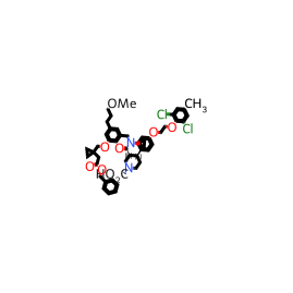 COCCCc1cc(CN(C(=O)[C@H]2CN(C(=O)O)CC[C@@H]2c2ccc(OCCOc3c(Cl)cc(C)cc3Cl)cc2)C2CC2)cc(OCC2(CC(=O)OCc3ccccc3)CC2)c1